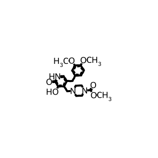 COC(=O)N1CCN(Cc2c(Cc3ccc(OC)c(OC)c3)c[nH]c(=O)c2O)CC1